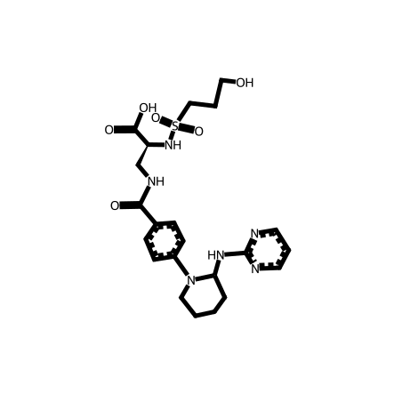 O=C(NC[C@H](NS(=O)(=O)CCCO)C(=O)O)c1ccc(N2CCCCC2Nc2ncccn2)cc1